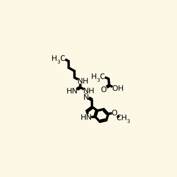 CCC(=O)O.CCCCCNC(=N)N/N=C/c1c[nH]c2ccc(OC)cc12